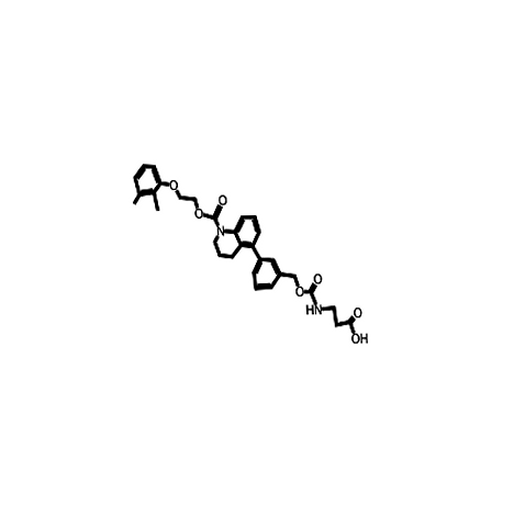 Cc1cccc(OCCOC(=O)N2CCCc3c(-c4cccc(COC(=O)NCCC(=O)O)c4)cccc32)c1C